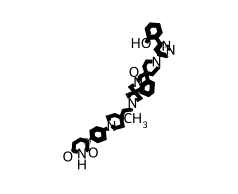 CC1(CCN2CC3(C2)CN(C(=O)C2(c4ccccc4)CCN(c4cnnc(-c5ccccc5O)c4)CC2)C3)CCN(c2ccc([C@H]3CCC(=O)NC3=O)cc2)CC1